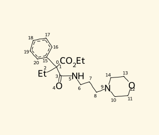 CCOC(=O)C(CC)(C(=O)NCCCN1CCOCC1)c1ccccc1